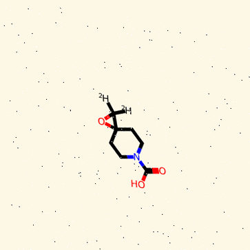 [2H]C1([2H])OC12CCN(C(=O)O)CC2